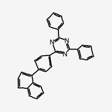 c1ccc(-c2nc(-c3ccccc3)nc(-c3ccc(-c4cccc5ccccc45)cc3)n2)cc1